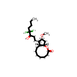 CCCCC(F)(F)C(=O)CC[C@@H]1[C@H]2CCCCCCC(=O)O[C@H]2C[C@H]1OC